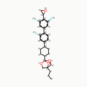 CCCC12COC(C3CCC(c4ccc(-c5cc(F)c(C6CO6)c(F)c5)c(F)c4)CC3)(OC1)O2